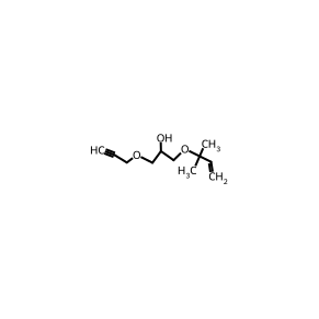 C#CCOCC(O)COC(C)(C)C=C